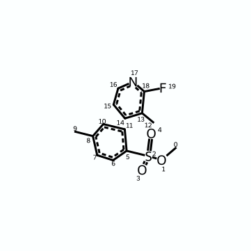 COS(=O)(=O)c1ccc(C)cc1.Cc1cccnc1F